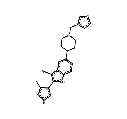 Cc1n[nH]cc1-c1[nH]c2ccc(C3CCN(Cc4cnc[nH]4)CC3)cc2c1C(C)C